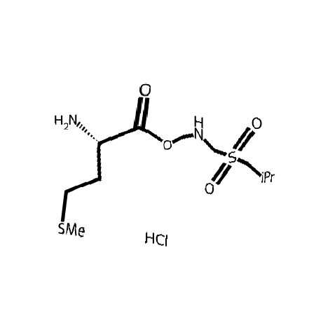 CSCC[C@H](N)C(=O)ONS(=O)(=O)C(C)C.Cl